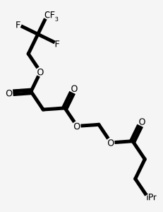 CC(C)CCC(=O)OCOC(=O)CC(=O)OCC(F)(F)C(F)(F)F